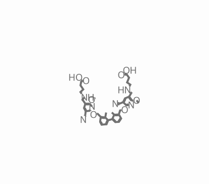 COc1nc(OCc2cccc(-c3cccc(COc4nc(OC)c(CNCCCC(=O)O)cc4C#N)c3C)c2C)c(C#N)cc1CNCCCC(=O)O